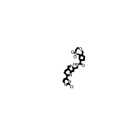 O=C(NCc1cc2nc(-c3ccnc(Cl)n3)ccc2cn1)c1ccc2c(c1)S(=O)(=O)CCOC2